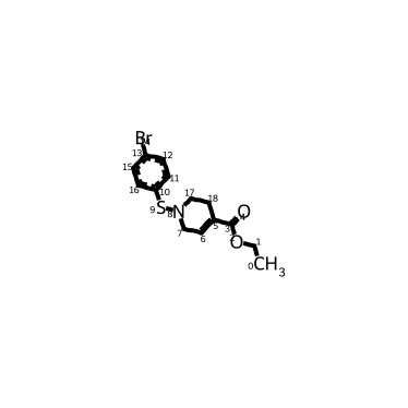 CCOC(=O)C1=CCN(Sc2ccc(Br)cc2)CC1